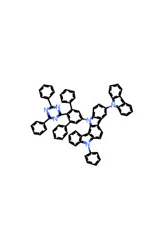 c1ccc(-c2nc(-c3ccccc3)nc(-c3c(-c4ccccc4)cc(-n4c5ccc(-n6c7ccccc7c7ccccc76)cc5c5ccc6c(c7ccccc7n6-c6ccccc6)c54)cc3-c3ccccc3)n2)cc1